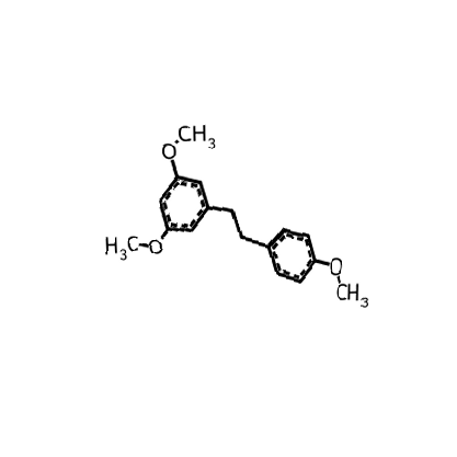 COc1ccc(CCc2cc(OC)cc(OC)c2)cc1